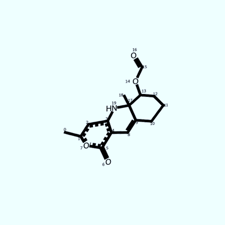 Cc1cc2c(c(=O)o1)C=C1CCCC(OC=O)C1(C)N2